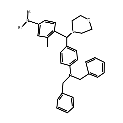 CCN(CC)c1ccc(C(c2ccc(N(Cc3ccccc3)Cc3ccccc3)cc2)N2CCOCC2)c(C)c1